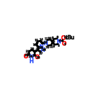 CC(C)(C)OC(=O)N1CCC2(CC1)CCN(c1cccc3c(C4CCC(=O)NC4=O)cnn13)CC2